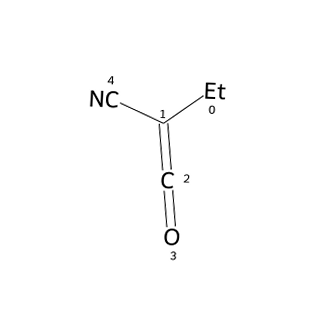 CCC(=C=O)C#N